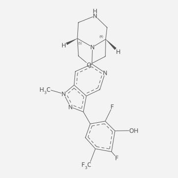 Cn1nc(-c2cc(C(F)(F)F)c(F)c(O)c2F)c2cnc(N3[C@@H]4CNC[C@H]3COC4)cc21